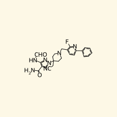 N#CCC1(n2cc(C(N)=O)c(NC=O)n2)CCN(Cc2ccc(-c3ccccc3)nc2F)CC1